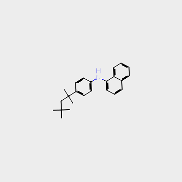 CC(C)(C)CC(C)(C)c1ccc(Nc2cccc3ccccc23)cc1